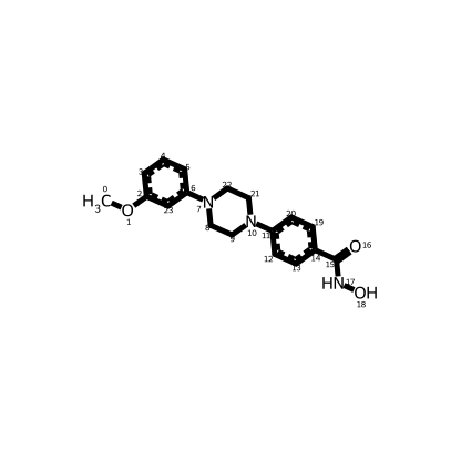 COc1cccc(N2CCN(c3ccc(C(=O)NO)cc3)CC2)c1